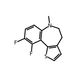 CN1CCc2ccsc2-c2c1ccc(F)c2F